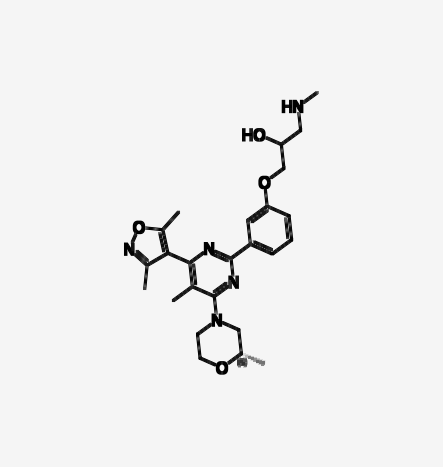 CNCC(O)COc1cccc(-c2nc(-c3c(C)noc3C)c(C)c(N3CCO[C@@H](C)C3)n2)c1